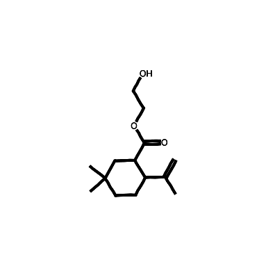 C=C(C)C1CCC(C)(C)CC1C(=O)OCCO